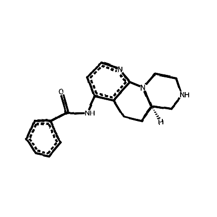 O=C(Nc1ccnc2c1CC[C@@H]1CNCCN21)c1ccccc1